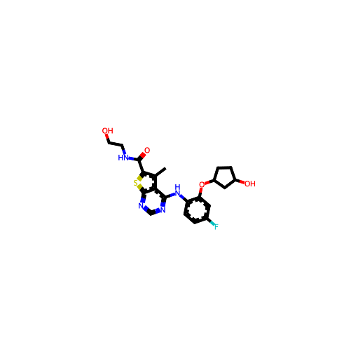 Cc1c(C(=O)NCCO)sc2ncnc(Nc3ccc(F)cc3OC3CCC(O)C3)c12